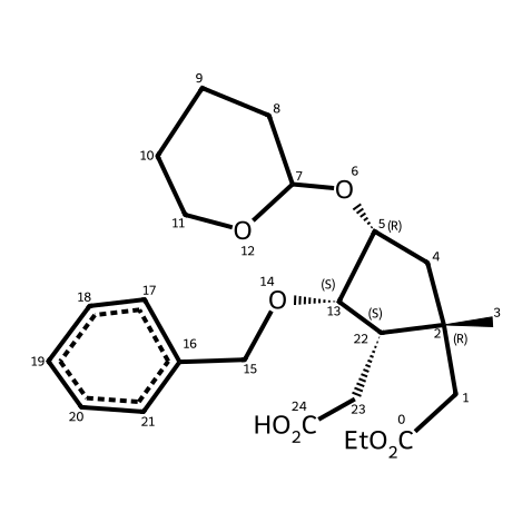 CCOC(=O)C[C@@]1(C)C[C@@H](OC2CCCCO2)[C@@H](OCc2ccccc2)[C@H]1CC(=O)O